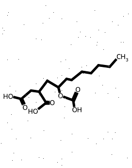 CCCCCCCC(CC(CC(=O)O)C(=O)O)OC(=O)O